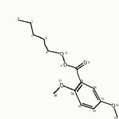 [CH2]CCCCOOC(=O)c1cc(OC)ccc1OC